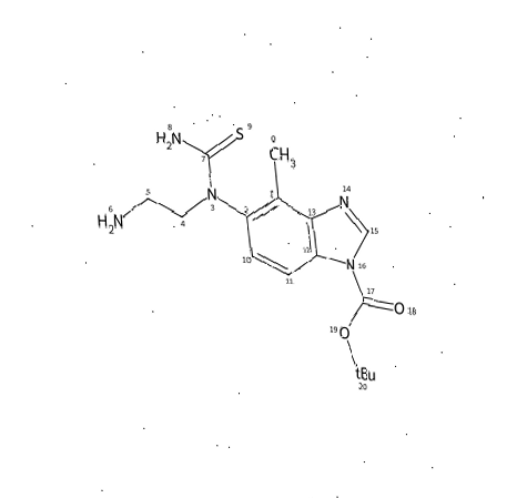 Cc1c(N(CCN)C(N)=S)ccc2c1ncn2C(=O)OC(C)(C)C